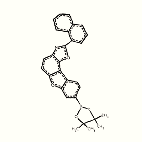 CC1(C)OB(c2ccc3c(c2)oc2ccc4nc(-c5cccc6ccccc56)oc4c23)OC1(C)C